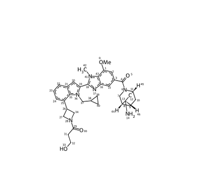 COc1cc(C(=O)N2C[C@H]3CC[C@@H]2C[C@@H]3N)cc2nc(-c3cc4cccc(C5CN(C(=O)CCO)C5)c4n3CC3CC3)n(C)c12